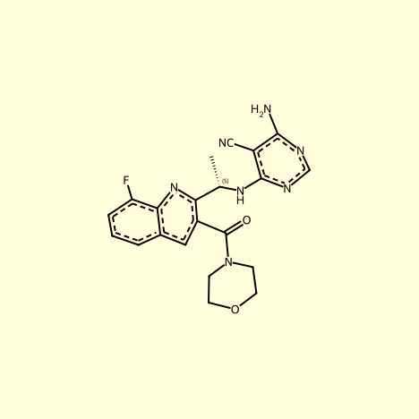 C[C@H](Nc1ncnc(N)c1C#N)c1nc2c(F)cccc2cc1C(=O)N1CCOCC1